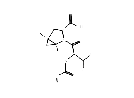 COC(=O)NC(C(=O)N1[C@@H]2C[C@@H]2C[C@H]1C(=O)O)C(C)C